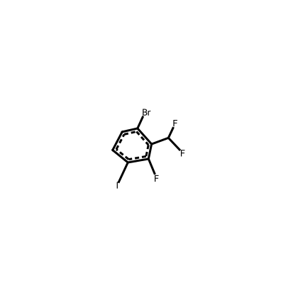 Fc1c(I)ccc(Br)c1C(F)F